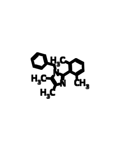 Cc1cccc(C)c1-c1nc(C)c(C)n1Cc1ccccc1